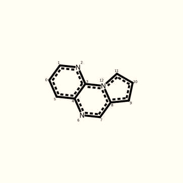 c1cnc2c(c1)ncc1cccn12